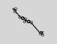 C=CC(=O)OCCCCCOc1ccc(OC(=O)c2ccc(OCCCCCCCCCC3CC(=C)C(=O)O3)cc2)cc1